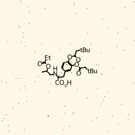 CCC(=O)OC(C)CN[C@@H](Cc1ccc(OC(=O)CC(C)(C)C)c(OC(=O)CC(C)(C)C)c1)C(=O)O